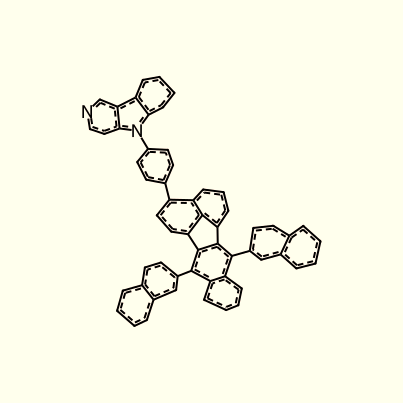 c1ccc2cc(-c3c4c(c(-c5ccc6ccccc6c5)c5ccccc35)-c3ccc(-c5ccc(-n6c7ccccc7c7cnccc76)cc5)c5cccc-4c35)ccc2c1